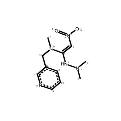 CN(C)NC(=C[N+](=O)[O-])N(C)Cc1cccnc1